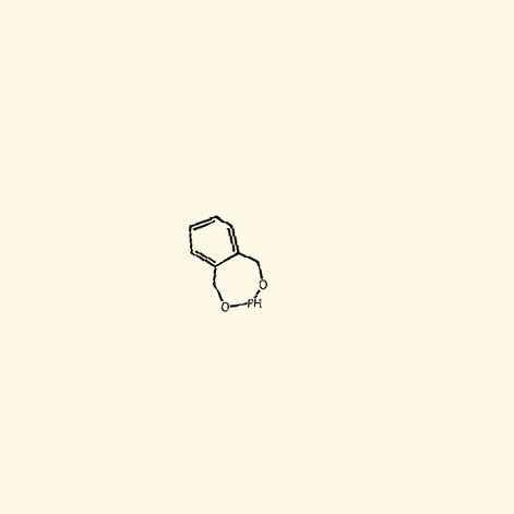 c1ccc2c(c1)COPOC2